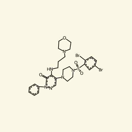 O=c1c(NCCCN2CCOCC2)c(N2CCN(S(=O)(=O)c3cc(Br)ccc3Br)CC2)cnn1-c1ccccc1